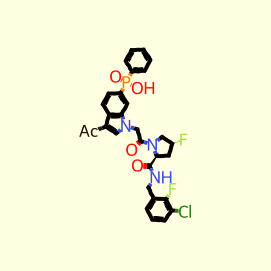 CC(=O)c1cn(CC(=O)N2C[C@H](F)C[C@H]2C(=O)NCc2cccc(Cl)c2F)c2cc(P(=O)(O)c3ccccc3)ccc12